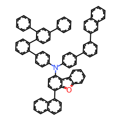 c1ccc(-c2ccc(-c3ccccc3-c3ccc(N(c4ccc(-c5cccc(-c6ccc7ccccc7c6)c5)cc4)c4ccc(-c5cccc6ccccc56)c5oc6ccccc6c45)cc3)c(-c3ccccc3)c2)cc1